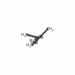 CCCCCCCCCCCC(=O)OC[C@H](CSC[C@H](N)C(=O)NCCCN)OC(=O)CCCCCCCCCCC